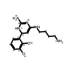 NCCCCNC1=CC(c2cccc(Cl)c2Cl)NC(N)=N1